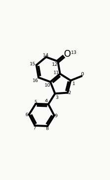 CC1=CC(c2ccccc2)C2=C1C(=O)CC=C2